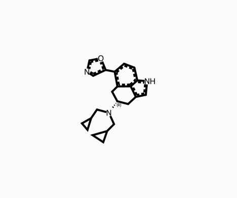 c1ncc(-c2ccc3[nH]cc4c3c2C[C@@H](N(CC2CC2)CC2CC2)C4)o1